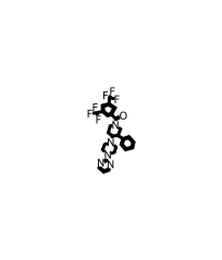 O=C(c1cc(C(F)(F)F)cc(C(F)(F)F)c1)N1CCC(N2CCN(c3ncccn3)CC2)C(c2ccccc2)C1